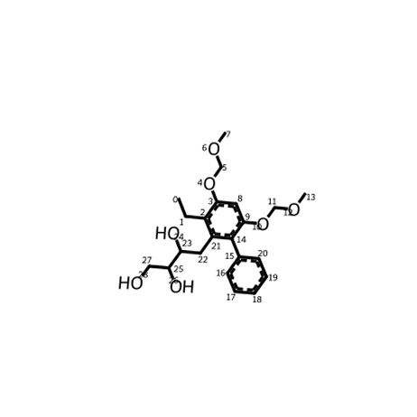 CCc1c(OCOC)cc(OCOC)c(-c2ccccc2)c1CC(O)C(O)CO